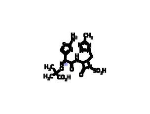 Cc1nnn(CC2C(NC(=O)/C(=N\OC(C)(C)C(=O)O)c3csc(N)n3)C(=O)N2S(=O)(=O)O)n1